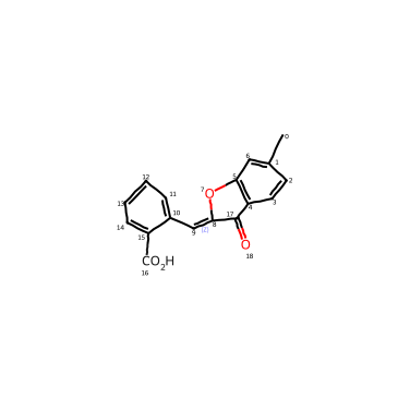 Cc1ccc2c(c1)O/C(=C\c1ccccc1C(=O)O)C2=O